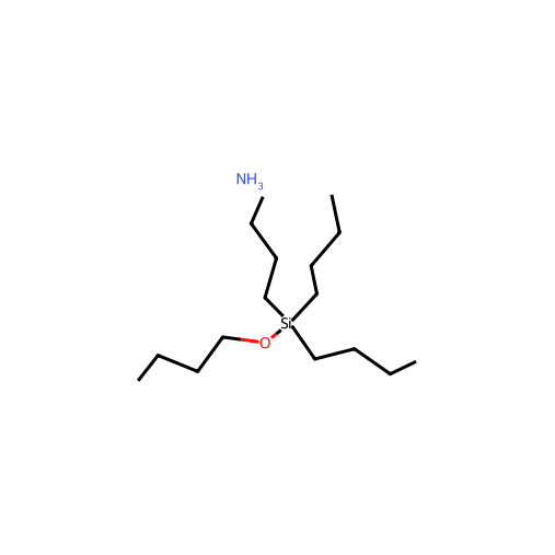 CCCCO[Si](CCCC)(CCCC)CCCC.N